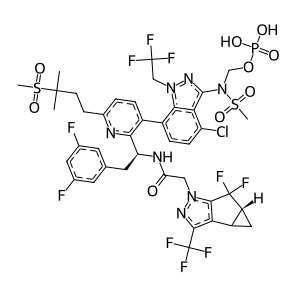 CC(C)(CCc1ccc(-c2ccc(Cl)c3c(N(COP(=O)(O)O)S(C)(=O)=O)nn(CC(F)(F)F)c23)c([C@H](Cc2cc(F)cc(F)c2)NC(=O)Cn2nc(C(F)(F)F)c3c2C(F)(F)[C@@H]2CC32)n1)S(C)(=O)=O